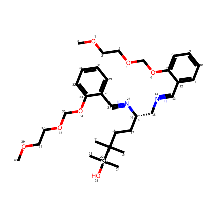 COCCOCOc1ccccc1/C=N/C[C@H](CCC(C)(C)[Si](C)(C)O)/N=C/c1ccccc1OCOCCOC